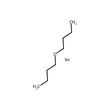 CCCCOCCCC.[Sn]